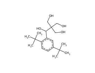 CC(C)(C)c1ccc(C(C)(C)C)c(C(O)C(CO)(CO)CO)c1